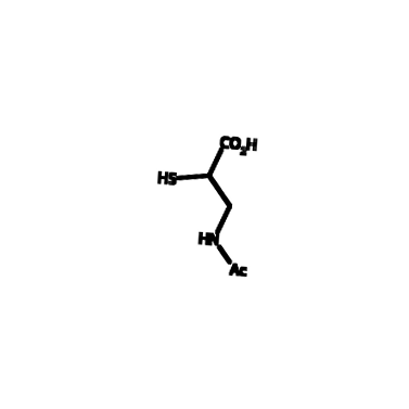 CC(=O)NCC(S)C(=O)O